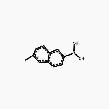 OB(O)c1ccc2cc(I)ccc2c1